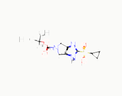 Cn1c(S(=O)(=O)C2CC2)nc2c1CN(C(=O)OC(C)(C)C)C2